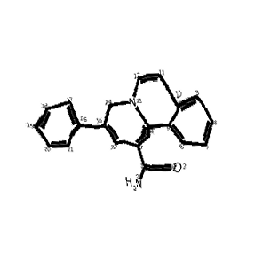 NC(=O)C1=C2c3ccccc3C=CN2CC(c2ccccc2)=C1